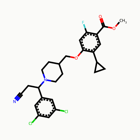 COC(=O)c1cc(C2CC2)c(OCC2CCN(C(CC#N)c3cc(Cl)cc(Cl)c3)CC2)cc1F